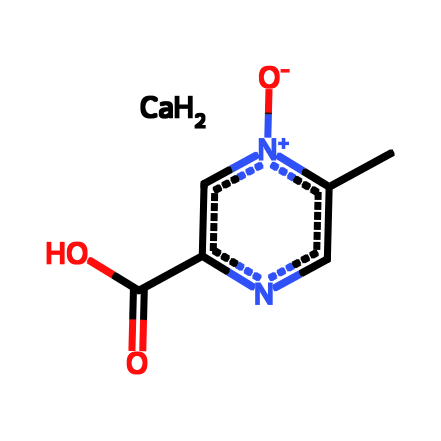 Cc1cnc(C(=O)O)c[n+]1[O-].[CaH2]